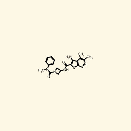 Cc1nnc2sc(C(=O)NC3CN(C(=O)N(C)c4ccccc4)C3)c(N)c2c1C